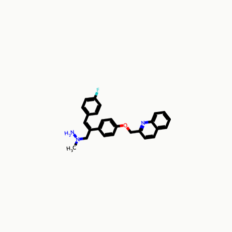 CN(N)C/C(=C/c1ccc(F)cc1)c1ccc(OCc2ccc3ccccc3n2)cc1